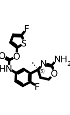 C[C@@]1(c2cc(NC(=O)Oc3ccc(F)s3)ccc2F)CCOC(N)=N1